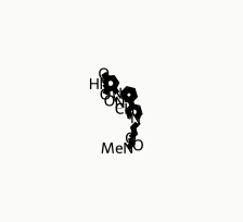 CNC(=O)OCCCN1CCC(c2cccc3c2n(C)c(=O)n3C2CCC(=O)NC2=O)CC1